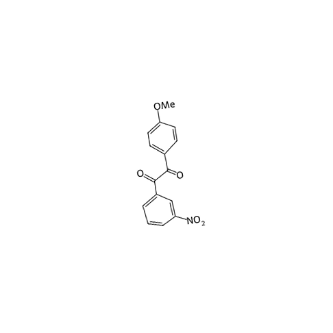 COc1ccc(C(=O)C(=O)c2cccc([N+](=O)[O-])c2)cc1